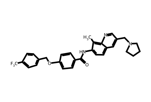 Cc1c(NC(=O)c2ccc(OCc3ccc(C(F)(F)F)cc3)cc2)ccc2cc(CN3CCCC3)cnc12